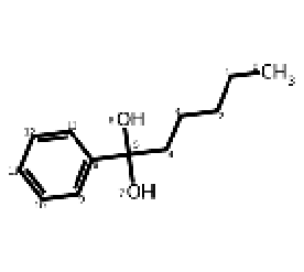 CCCCCC(O)(O)c1ccccc1